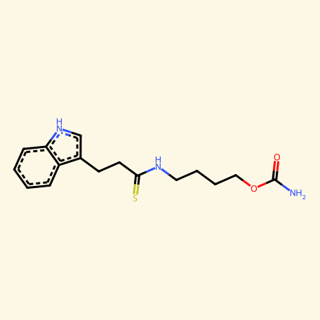 NC(=O)OCCCCNC(=S)CCc1c[nH]c2ccccc12